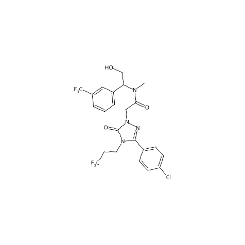 CN(C(=O)Cn1nc(-c2ccc(Cl)cc2)n(CCC(F)(F)F)c1=O)C(CO)c1cccc(C(F)(F)F)c1